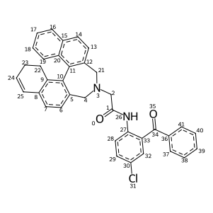 O=C(CN1Cc2ccc3c(c2-c2c(ccc4ccccc24)C1)CCC=C3)Nc1ccc(Cl)cc1C(=O)c1ccccc1